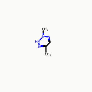 CC1=NNN(C)N=C1